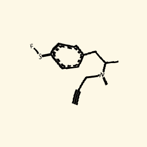 C#CCN(C)C(C)Cc1ccc(SF)cc1